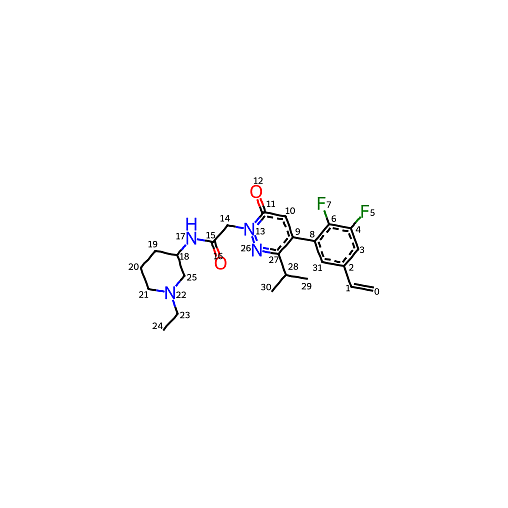 C=Cc1cc(F)c(F)c(-c2cc(=O)n(CC(=O)NC3CCCN(CC)C3)nc2C(C)C)c1